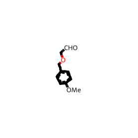 COc1ccc(COCC=O)cc1